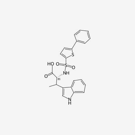 CC(c1c[nH]c2ccccc12)[C@@H](NS(=O)(=O)c1ccc(-c2ccccc2)s1)C(=O)O